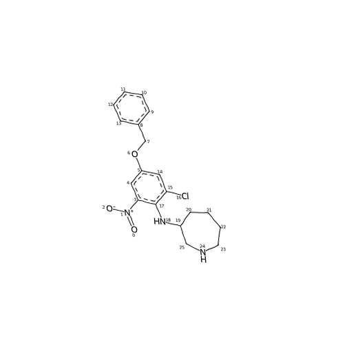 O=[N+]([O-])c1cc(OCc2ccccc2)cc(Cl)c1NC1CCCCNC1